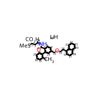 CSCCC(NC(=O)c1ccc(COCCc2cccc3ccccc23)cc1-c1ccccc1C)C(=O)O.[LiH]